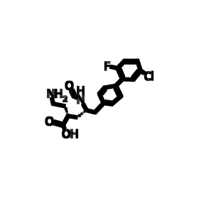 NCC[C@H](C[C@@H](Cc1ccc(-c2cc(Cl)ccc2F)cc1)NC=O)C(=O)O